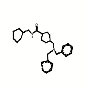 O=C(NCC1CCCCC1)C1CCC(CN(Cc2ccccc2)Cc2ccccc2)CC1